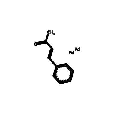 CC(=O)C=Cc1ccccc1.[Pd].[Pd]